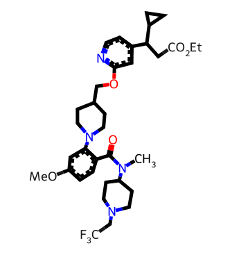 CCOC(=O)CC(c1ccnc(OCC2CCN(c3cc(OC)ccc3C(=O)N(C)C3CCN(CC(F)(F)F)CC3)CC2)c1)C1CC1